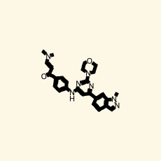 CN(C)C=CC(=O)c1ccc(Nc2cc(-c3ccc4cnn(C)c4c3)nc(N3CCOCC3)n2)cc1